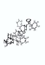 O=C(N[C@@H]1CCCC[C@@H]1C(=O)N1CC[C@H]2[C@@H](c3ncn[nH]3)Nc3ccccc3[C@H]21)c1ccccc1